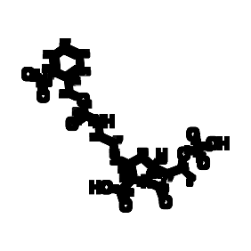 C[C@H](OS(=O)(=O)O)[C@@H]1C(=O)N2C(C(=O)O)=C(SCCNC(=O)OCc3ccccc3[N+](=O)[O-])C[C@H]12